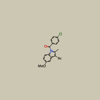 COc1ccc2c(c1)c(C(C)=O)c(C)n2C(=O)c1ccc(Cl)cc1